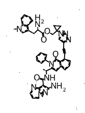 C[C@H](NC(=O)c1c(N)nn2cccnc12)c1cc2cccc(C#Cc3cn(C4(COC(=O)[C@H](N)Cc5cn(C)c6ccccc56)CC4)nn3)c2c(=O)n1-c1ccccc1